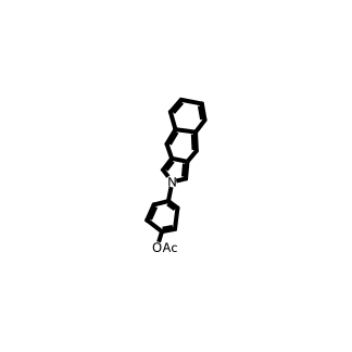 CC(=O)Oc1ccc(-n2cc3cc4ccccc4cc3c2)cc1